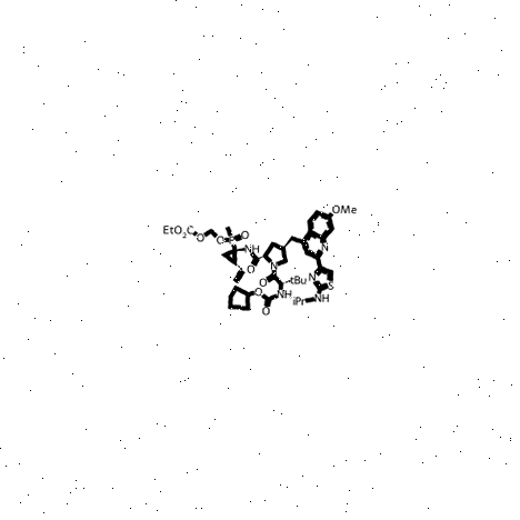 C=C[C@@H]1C[C@]1(NC(=O)[C@@H]1C[C@@H](Cc2cc(-c3csc(NC(C)C)n3)nc3cc(OC)ccc23)CN1C(=O)[C@@H](NC(=O)OC1CCCC1)C(C)(C)C)P(C)(=O)OCOC(=O)OCC